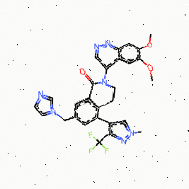 COc1cc2nncc(N3CCc4c(cc(Cn5ccnc5)cc4-c4cn(C)nc4C(F)(F)F)C3=O)c2cc1OC